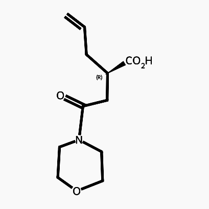 C=CC[C@H](CC(=O)N1CCOCC1)C(=O)O